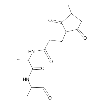 CC(C=O)NC(=O)C(C)NC(=O)CCC1C(=O)CC(C)C1=O